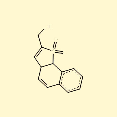 O=S1(=O)C(CO)=CC2C=Cc3ccccc3C21